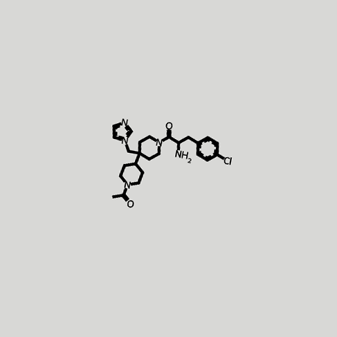 CC(=O)N1CCC(C2(Cn3ccnc3)CCN(C(=O)C(N)Cc3ccc(Cl)cc3)CC2)CC1